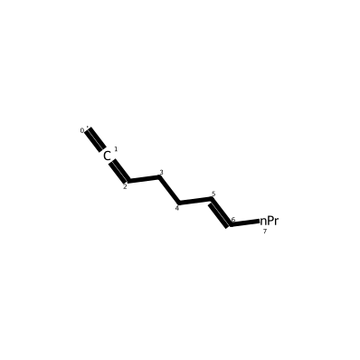 [CH]=C=CCCC=CCCC